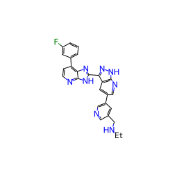 CCNCc1cncc(-c2cnc3[nH]nc(-c4nc5c(-c6cccc(F)c6)ccnc5[nH]4)c3c2)c1